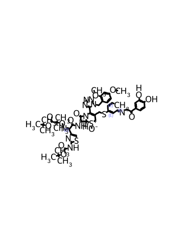 C\C=C/C(=C\C=N\CC(=O)c1ccc(O)c(O)c1)SCC1=C(c2nnnn2Cc2ccc(OC)cc2OC)N2C(=O)[C@@H](NC(=O)/C(=N\OC(C)(C)C(=O)OC(C)(C)C)c3csc(NC(=O)OC(C)(C)C)n3)[C@H]2[S+]([O-])C1